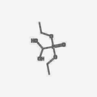 CCOP(=O)(OCC)C(O)O